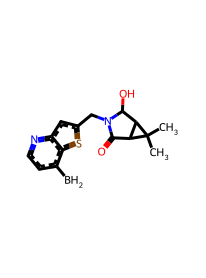 Bc1ccnc2cc(CN3C(=O)C4C(C3O)C4(C)C)sc12